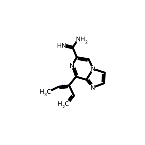 C=C/C(=C\C)c1nc(C(=N)N)cn2ccnc12